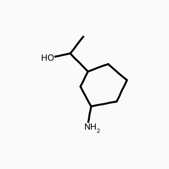 CC(O)C1CCCC(N)C1